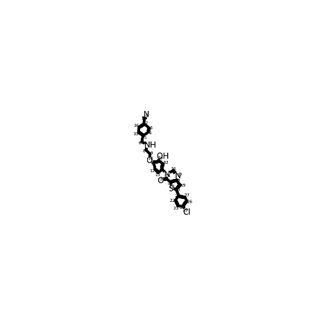 N#Cc1ccc(CNCCOc2ccc(-n3cnc4cc(-c5ccc(Cl)cc5)sc4c3=O)cc2O)cc1